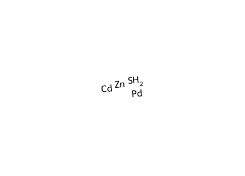 S.[Cd].[Pd].[Zn]